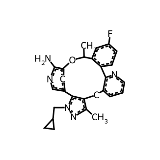 Cc1nn(CC2CC2)c2c1Cc1cccnc1-c1ccc(F)cc1C(C)Oc1cc-2cnc1N